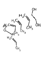 C=CC.C=CC.C=CC.C=CC.CC(C)OC(C)C.OCCO